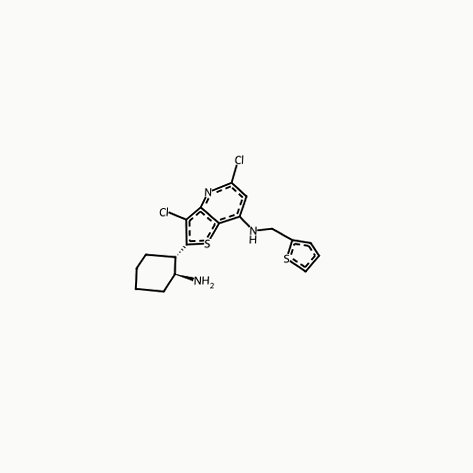 N[C@H]1CCCC[C@@H]1c1sc2c(NCc3cccs3)cc(Cl)nc2c1Cl